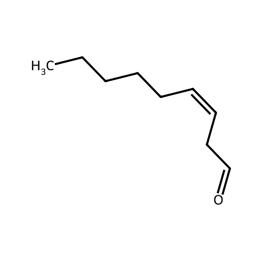 CCCCC/C=C\CC=O